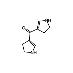 O=C(C1=CNCC1)C1=CNCC1